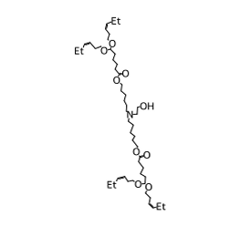 CC/C=C\CCOC(CCCCC(=O)OCCCCCCN(CCO)CCCCCCOC(=O)CCCCC(OCC/C=C\CC)OCC/C=C\CC)OCC/C=C\CC